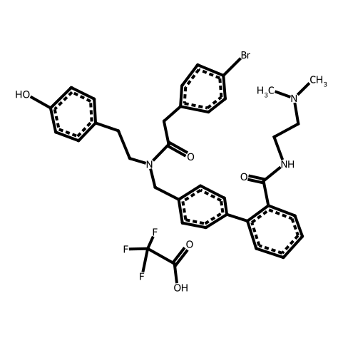 CN(C)CCNC(=O)c1ccccc1-c1ccc(CN(CCc2ccc(O)cc2)C(=O)Cc2ccc(Br)cc2)cc1.O=C(O)C(F)(F)F